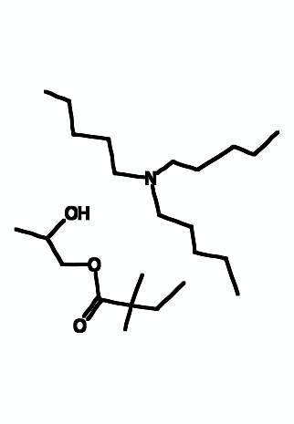 CCC(C)(C)C(=O)OCC(C)O.CCCCCN(CCCCC)CCCCC